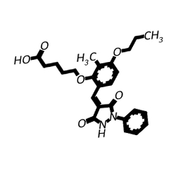 CCCOc1ccc(C=C2C(=O)NN(c3ccccc3)C2=O)c(OCCCCC(=O)O)c1C